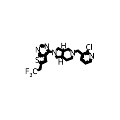 FC(F)(F)Cc1cc2c(N3C[C@H]4CCN(Cc5cccnc5Cl)C[C@H]4C3)ncnc2s1